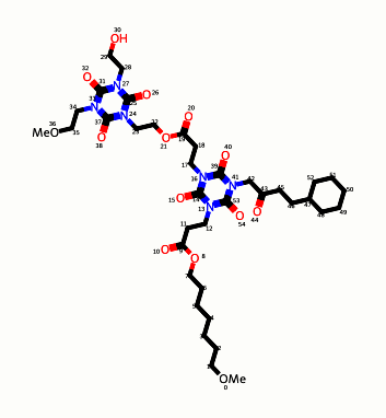 COCCCCCCCOC(=O)CCn1c(=O)n(CCC(=O)OCCn2c(=O)n(CCO)c(=O)n(CCOC)c2=O)c(=O)n(CC(=O)CCC2CCCCC2)c1=O